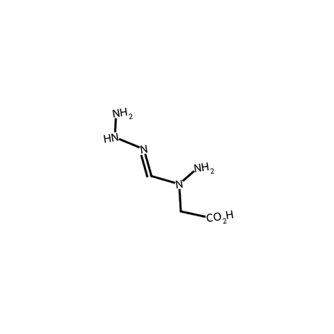 NNN=CN(N)CC(=O)O